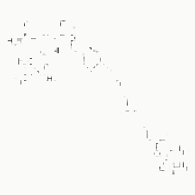 CC(OCc1ccc(CCOCCOCCOCC(=O)OC(C)(C)C)cc1)C(CCC(N)=O)NC(=O)OC(C)(C)C